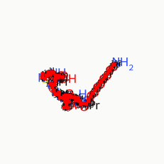 Cc1ncsc1-c1ccc([C@H](C)NC(=O)[C@@H]2C[C@@H](OP(=O)(O)O)CN2C(=O)[C@@H](c2cc(OCCN3CCC(N4CCN5c6cc(-c7ccccc7O)nnc6N(C(=O)OCc6ccc(NC(=O)[C@H](C)NC(=O)[C@@H](NC(=O)CCOCCOCCOCCOCCOCCOCCOCCOCCN)C(C)C)cc6)[C@@H](C)[C@@H]5C4)CC3)no2)C(C)C)cc1